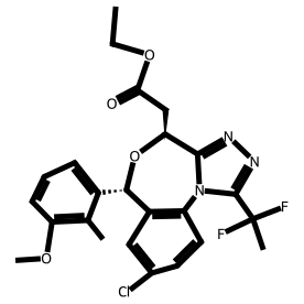 CCOC(=O)C[C@@H]1O[C@@H](c2cccc(OC)c2C)c2cc(Cl)ccc2-n2c1nnc2C(C)(F)F